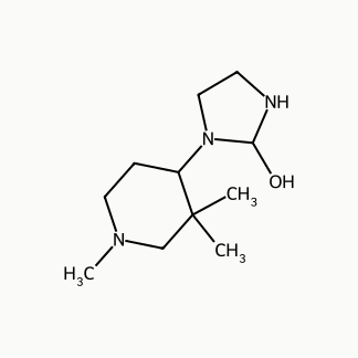 CN1CCC(N2CCNC2O)C(C)(C)C1